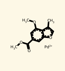 COC(=O)c1cc(OC)c2c(C)coc2c1.[Pd+2]